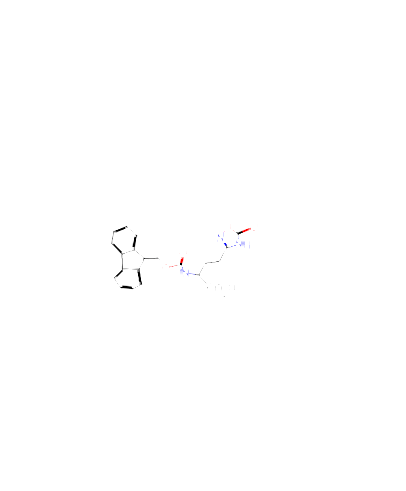 O=C(NC(CCc1noc(=O)[nH]1)C(=O)O)OCC1c2ccccc2-c2ccccc21